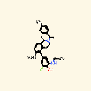 COc1ccc2c(c1-c1cc(F)c(O)c(NCC(C)C)c1)CCN(C(C)c1ccc(C(C)C)cc1)[C@@H]2C